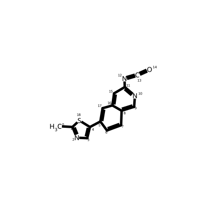 Cc1ncc(-c2ccc3cnc(N=C=O)cc3c2)s1